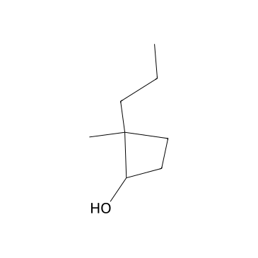 CCCC1(C)CCC1O